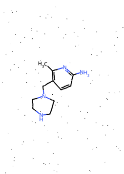 Cc1nc(N)ccc1CN1CCNCC1